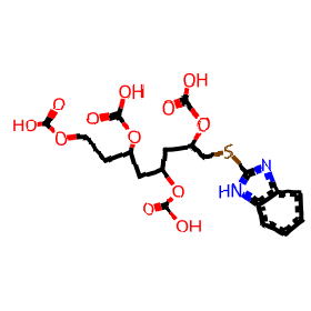 O=C(O)OCCC(CC(CC(CSc1nc2ccccc2[nH]1)OC(=O)O)OC(=O)O)OC(=O)O